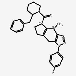 C[C@@H]1C2=C(CC[C@H]2C(=O)N2CCCCC2Cc2ccccc2)Cc2c1cnn2-c1ccc(F)cc1